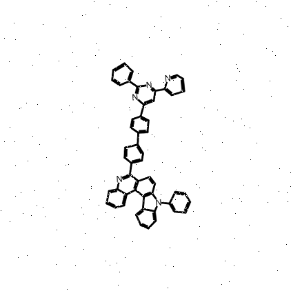 c1ccc(-c2nc(-c3ccc(-c4ccc(-c5nc6ccccc6c6c5ccc5c6c6ccccc6n5-c5ccccc5)cc4)cc3)cc(-c3ccccn3)n2)cc1